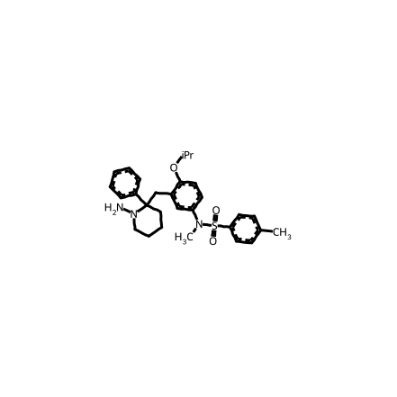 Cc1ccc(S(=O)(=O)N(C)c2ccc(OC(C)C)c(CC3(c4ccccc4)CCCCN3N)c2)cc1